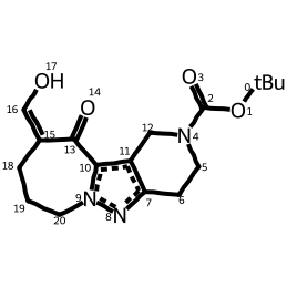 CC(C)(C)OC(=O)N1CCc2nn3c(c2C1)C(=O)/C(=C\O)CCC3